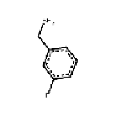 BCc1cccc(F)c1